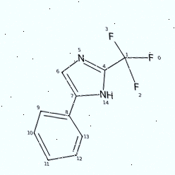 FC(F)(F)c1ncc(-c2ccccc2)[nH]1